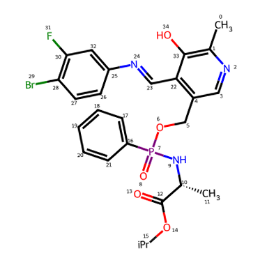 Cc1ncc(COP(=O)(N[C@H](C)C(=O)OC(C)C)c2ccccc2)c(/C=N/c2ccc(Br)c(F)c2)c1O